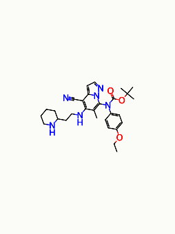 CCOc1ccc(N(C(=O)OC(C)(C)C)c2c(C)c(NCCC3CCCCN3)c(C#N)c3ccnn23)cc1